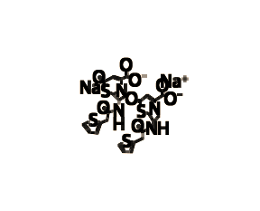 O=C(Cc1cccs1)NC1CN2C(C(=O)[O-])=CC(=O)SC12.O=C(Cc1cccs1)NC1CN2C(C(=O)[O-])=CC(=O)SC12.[Na+].[Na+]